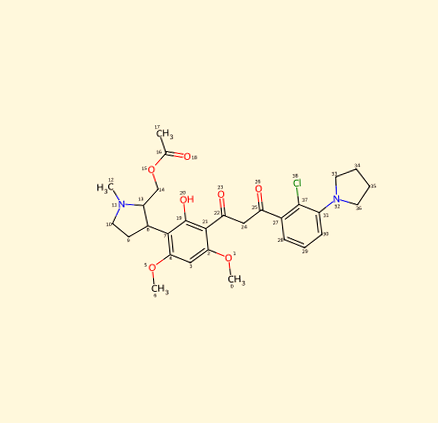 COc1cc(OC)c(C2CCN(C)C2COC(C)=O)c(O)c1C(=O)CC(=O)c1cccc(N2CCCC2)c1Cl